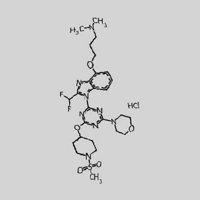 CN(C)CCCOc1cccc2c1nc(C(F)F)n2-c1nc(OC2CCN(S(C)(=O)=O)CC2)nc(N2CCOCC2)n1.Cl